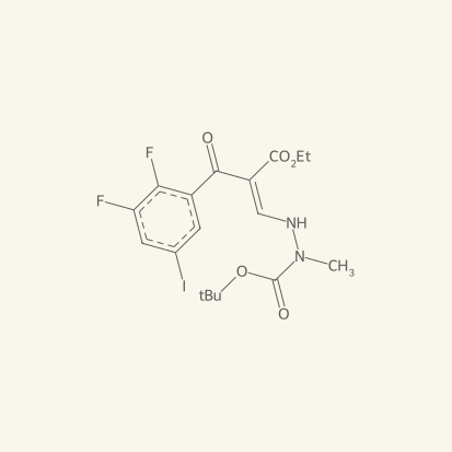 CCOC(=O)C(=CNN(C)C(=O)OC(C)(C)C)C(=O)c1cc(I)cc(F)c1F